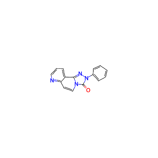 O=c1n(-c2ccccc2)nc2c3cccnc3ccn12